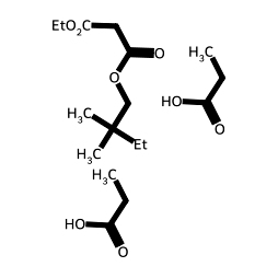 CCC(=O)O.CCC(=O)O.CCOC(=O)CC(=O)OCC(C)(C)CC